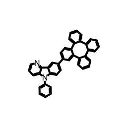 c1ccc(-n2c3ccc(-c4ccc5c(c4)-c4ccccc4-c4ccccc4-c4ccccc4-5)cc3c3ncccc32)cc1